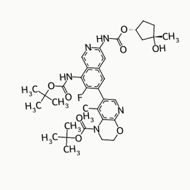 Cc1c(-c2cc3cc(NC(=O)O[C@@H]4CC[C@](C)(O)C4)ncc3c(NC(=O)OC(C)(C)C)c2F)cnc2c1N(C(=O)OC(C)(C)C)CCO2